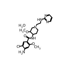 COc1cc(N)c(Cl)cc1C(=O)NC1CCN(CCNc2ncccn2)CC1OC.O